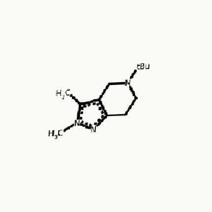 Cc1c2c(nn1C)CCN(C(C)(C)C)C2